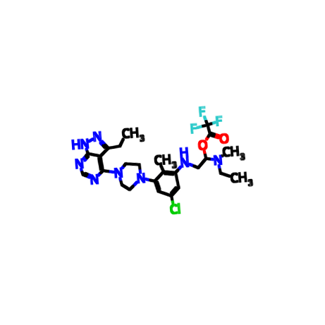 CCc1n[nH]c2ncnc(N3CCN(c4cc(Cl)cc(NCC(OC(=O)C(F)(F)F)N(C)CC)c4C)CC3)c12